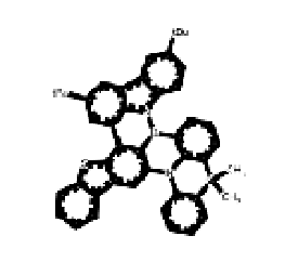 CC(C)(C)c1ccc2c(c1)c1cc(C(C)(C)C)cc3c1n2B1c2cccc4c2N(c2ccccc2[Si]4(C)C)c2cc4c(sc5ccccc54)c-3c21